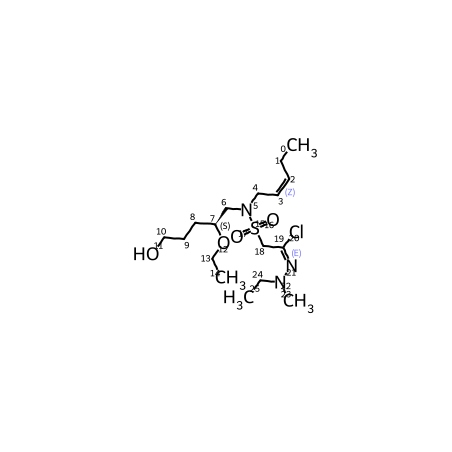 CC/C=C\CN(C[C@H](CCCO)OCC)S(=O)(=O)C/C(Cl)=N\N(C)CC